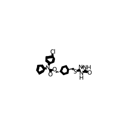 O=C(OC[C@H]1CC[C@H](CSc2n[nH]c(=O)[nH]2)CC1)N(c1ccccc1)c1ccc(Cl)cc1